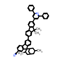 CC1CC2CC(C)C3(c4ccc(-c5ccc6c(c5)C(C)(C)c5cc(-c7cc(-c8ccccc8)nc(-c8ccccc8)c7)ccc5-6)cc4-c4ccc(C#N)cc43)C(C1)C2